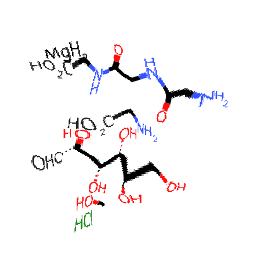 CO.Cl.NCC(=O)NCC(=O)NCC(=O)O.NCC(=O)O.O=C[C@H](O)[C@@H](O)[C@H](O)[C@H](O)CO.[MgH2]